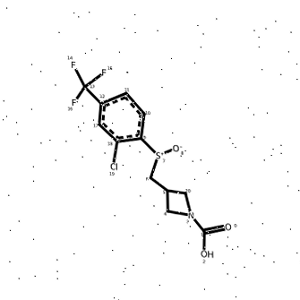 O=C(O)N1CC(C[S+]([O-])c2ccc(C(F)(F)F)cc2Cl)C1